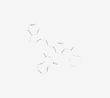 O=C(c1ccc(C=Cc2n[nH]c3ccccc23)c(N2C(=O)c3ccccc3C2=O)c1)N1CCOCC1